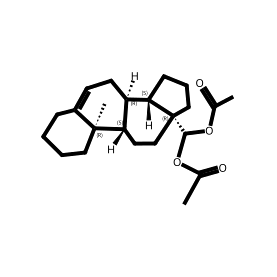 CC(=O)OC(OC(C)=O)[C@@]12CCC[C@H]1[C@@H]1CC=C3CCCC[C@]3(C)[C@H]1CC2